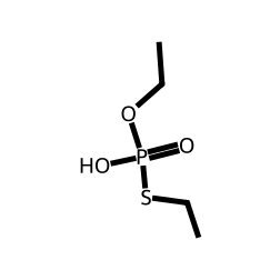 CCOP(=O)(O)SCC